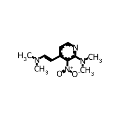 CN(C)C=Cc1ccnc(N(C)C)c1[N+](=O)[O-]